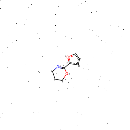 c1coc(C2=NCCCO2)c1